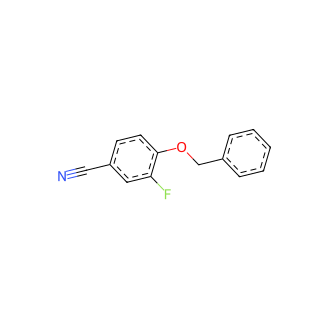 N#Cc1ccc(OCc2ccccc2)c(F)c1